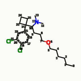 CCCCCCOCCCC(N(C)C)C1(c2ccc(Cl)c(Cl)c2)CCC1